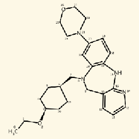 CCO[C@H]1CC[C@@H](CN2Cc3cccnc3Nc3ccc(N4CCOCC4)cc32)CC1